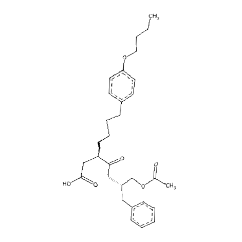 CCCCOc1ccc(CCCC[C@H](CC(=O)O)C(=O)C[C@H](COC(C)=O)Cc2ccccc2)cc1